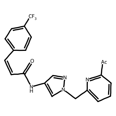 CC(=O)c1cccc(Cn2cc(NC(=O)/C=C\c3ccc(C(F)(F)F)cc3)cn2)n1